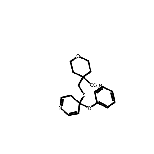 O=C(O)C1(CSC2(Oc3ccccc3)C=CN=CC2)CCOCC1